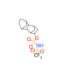 O=S(=O)(NS(=O)(=O)C(F)(F)F)OC1CC2CC1C1C3CCC(C3)C21